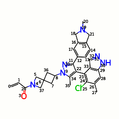 C=CC(=O)N1CC2(CC(n3nc(-c4ccc5c(c4)CN(C)C5)c(-c4c(Cl)c(C)cc5[nH]ncc45)c3C)C2)C1